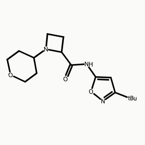 CC(C)(C)c1cc(NC(=O)C2CCN2C2CCOCC2)on1